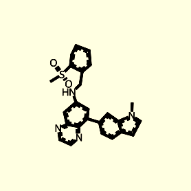 Cn1ccc2ccc(-c3cc(NCc4ccccc4S(C)(=O)=O)cc4nccnc34)cc21